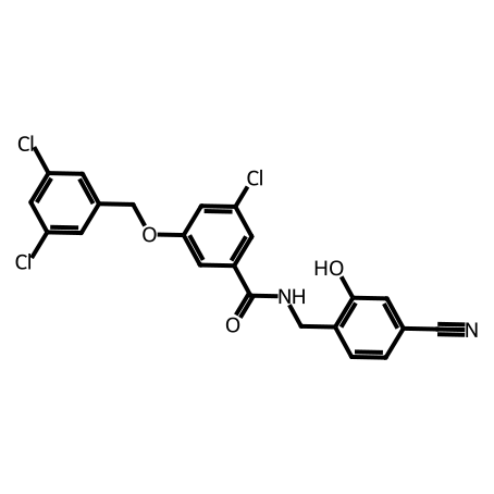 N#Cc1ccc(CNC(=O)c2cc(Cl)cc(OCc3cc(Cl)cc(Cl)c3)c2)c(O)c1